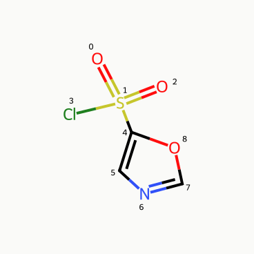 O=S(=O)(Cl)c1cnco1